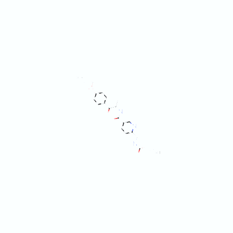 CC(NC(=O)c1ccc(CNC(=O)OC(C)(C)C)nc1)C(=O)c1ccc(OCC(=O)O)cc1